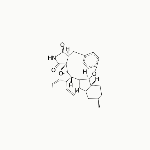 C/C=C\[C@H]1C=C[C@H]2C3C[C@H](C)CC[C@H]3[C@@H]3Oc4ccc(cc4)C[C@@H]4C(=O)NC(=O)[C@@]4(C)C(=O)[C@@H]1C23